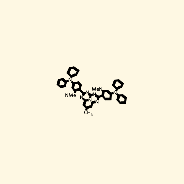 CNc1cc(N(c2ccccc2)c2ccccc2)ccc1C1=NC2=CC(C)=CC3=NC(c4ccc(N(c5ccccc5)c5ccccc5)cc4NC)=NC(=N1)N23